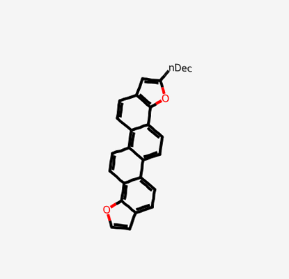 CCCCCCCCCCc1cc2ccc3c4ccc5c(ccc6ccoc65)c4ccc3c2o1